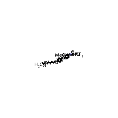 C=CC(=O)OCCCCCCOc1ccc(C(=O)Oc2ccc(/C=C/C(=O)OCC(F)(F)F)cc2OC)cc1